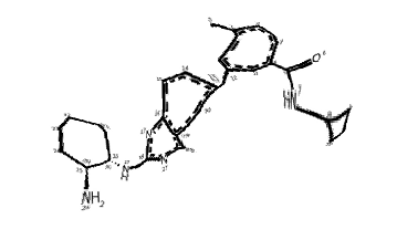 Cc1ccc(C(=O)NC2CC2)cc1-c1ccc2nc(N[C@H]3CCCC[C@@H]3N)ncc2c1